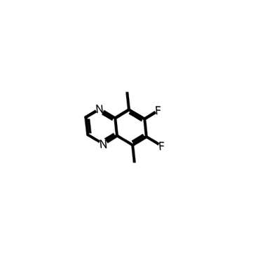 Cc1c(F)c(F)c(C)c2nccnc12